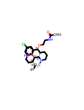 COC(=O)NCCO[C@@H](c1cccc(Cl)c1)C1CCCN(C(=O)O)[C@@H]1[C@@H]1CNCC[C@H]1CC(C)C